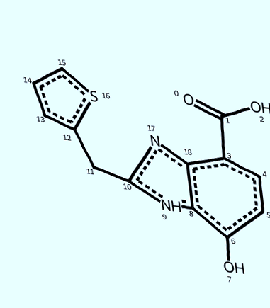 O=C(O)c1ccc(O)c2[nH]c(Cc3cccs3)nc12